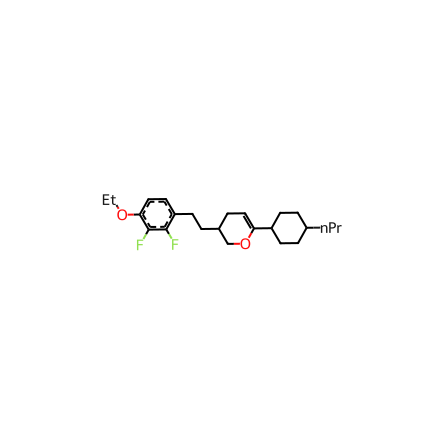 CCCC1CCC(C2=CCC(CCc3ccc(OCC)c(F)c3F)CO2)CC1